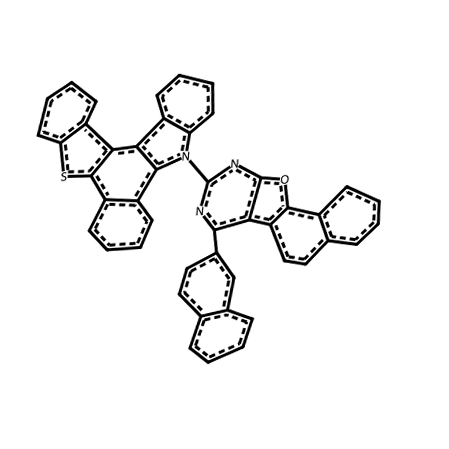 c1ccc2cc(-c3nc(-n4c5ccccc5c5c6c7ccccc7sc6c6ccccc6c54)nc4oc5c6ccccc6ccc5c34)ccc2c1